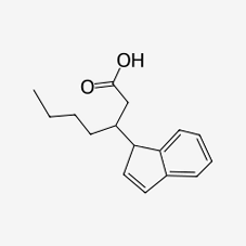 CCCCC(CC(=O)O)C1C=Cc2ccccc21